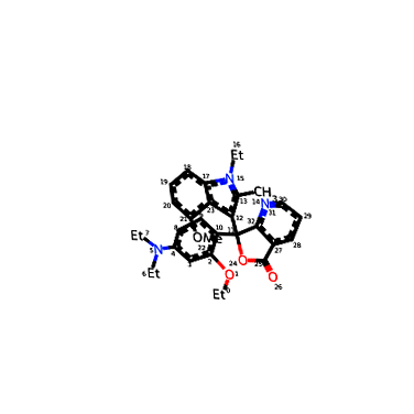 CCOc1cc(N(CC)CC)ccc1C1(c2c(C)n(CC)c3cccc(OC)c23)OC(=O)c2cccnc21